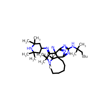 CC(C)(C)CC(C)(C)Nc1nc2nc(n1)C13CCCCCCN(C(C)(C)C(=NC4CC(C)(C)NC(C)(C)C4)C21[N])C3(C)C